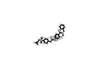 CCOC(=O)CN(Cc1ccccc1)C(=O)c1ccc(NC(=O)Cc2ccc(S(=O)(=O)CC3CC3)cc2)cc1